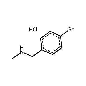 CNCc1ccc(Br)cc1.Cl